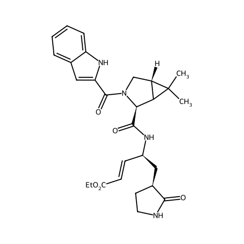 CCOC(=O)/C=C/[C@H](C[C@@H]1CCNC1=O)NC(=O)[C@@H]1C2[C@H](CN1C(=O)c1cc3ccccc3[nH]1)C2(C)C